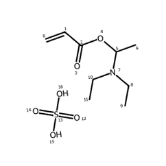 C=CC(=O)OC(C)N(CC)CC.O=S(=O)(O)O